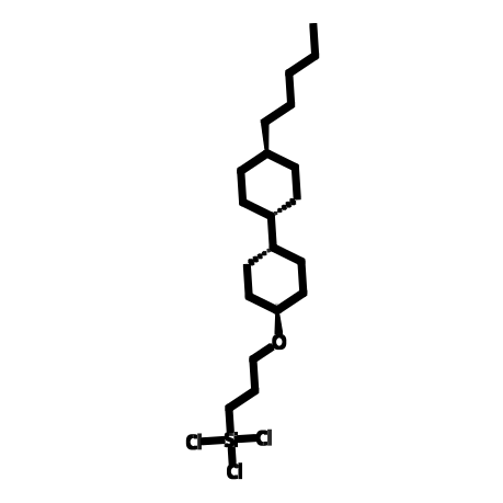 CCCCC[C@H]1CC[C@H]([C@H]2CC[C@H](OCCC[Si](Cl)(Cl)Cl)CC2)CC1